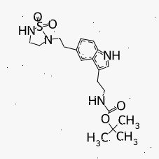 CC(C)(C)OC(=O)NCCc1c[nH]c2ccc(CCN3CCNS3(=O)=O)cc12